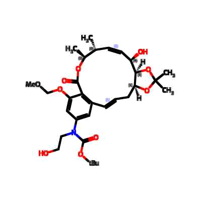 COCOc1cc(N(CCO)C(=O)OC(C)(C)C)cc2c1C(=O)O[C@@H](C)[C@H](C)/C=C\[C@@H](O)[C@H]1OC(C)(C)O[C@H]1C/C=C/2